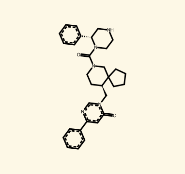 O=C(N1CC[C@H](Cn2cnc(-c3ccccc3)cc2=O)C2(CCCC2)C1)N1CCNC[C@H]1c1ccccc1